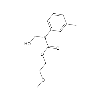 COCCOC(=O)N(CO)c1cccc(C)c1